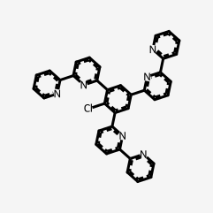 Clc1c(-c2cccc(-c3ccccn3)n2)cc(-c2cccc(-c3ccccn3)n2)cc1-c1cccc(-c2ccccn2)n1